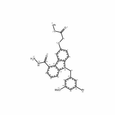 CCCOC(=O)COc1ccc2c(c1)c1c(C(=O)NN)cccc1n2Cc1cc(OC)cc(C(C)C)c1